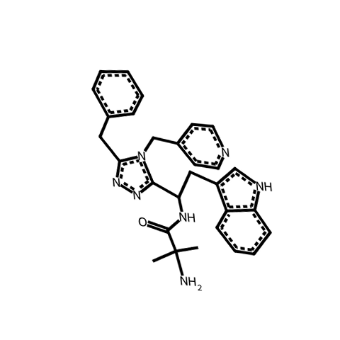 CC(C)(N)C(=O)NC(Cc1c[nH]c2ccccc12)c1nnc(Cc2ccccc2)n1Cc1ccncc1